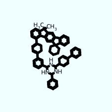 CC1(C)c2cc3c(cc2-c2c(C4=CC=C(c5cccc(C6NC(c7ccccc7)NC(C7C=CC(c8ccccc8)=CC7)N6)c5)CC4)cccc21)C1(CCCCC1)c1ccccc1-3